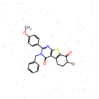 COc1ccc(-c2nc3sc4c(c3c(=O)n2Cc2ccccc2)CCC(Br)C4=O)cc1